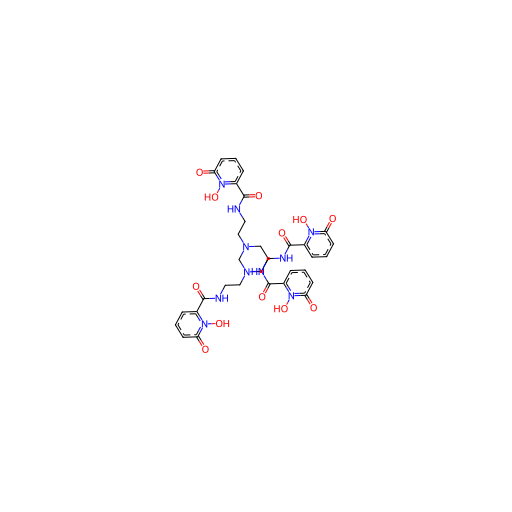 O=C(NCCN(CCNC(=O)c1cccc(=O)n1O)CN(CCNC(=O)c1cccc(=O)n1O)CCNC(=O)c1cccc(=O)n1O)c1cccc(=O)n1O